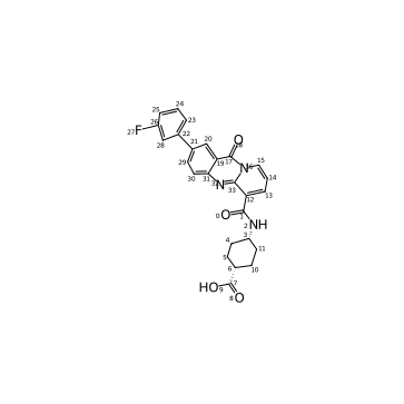 O=C(N[C@H]1CC[C@@H](C(=O)O)CC1)c1cccn2c(=O)c3cc(-c4cccc(F)c4)ccc3nc12